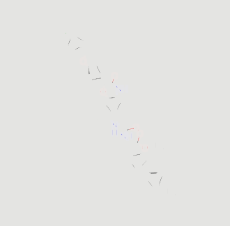 COC(=O)C(Cc1ccc(-c2ccc(C)cc2)cc1)NC(=O)C1Cc2cc3c(cc2CN1)OC(c1ccc(OCc2ccc(Cl)c(Cl)c2)cc1)C(=O)N3.Cl